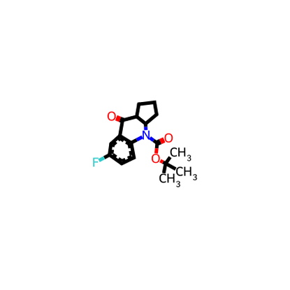 CC(C)(C)OC(=O)N1c2ccc(F)cc2C(=O)C2CCCC21